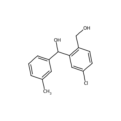 Cc1cccc(C(O)c2cc(Cl)ccc2CO)c1